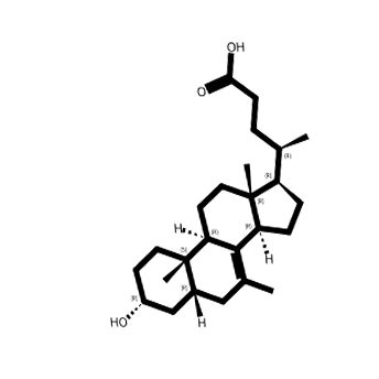 CC1=C2[C@H](CC[C@]3(C)[C@@H]([C@H](C)CCC(=O)O)CC[C@@H]23)[C@@]2(C)CC[C@@H](O)C[C@H]2C1